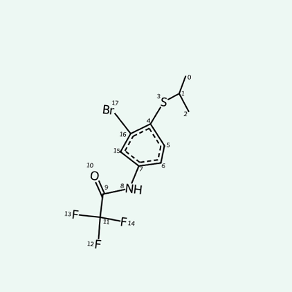 CC(C)Sc1ccc(NC(=O)C(F)(F)F)cc1Br